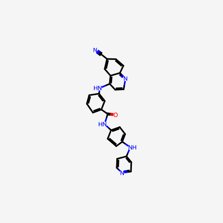 N#Cc1ccc2nccc(Nc3cccc(C(=O)Nc4ccc(Nc5ccncc5)cc4)c3)c2c1